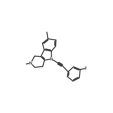 Cc1ccc2c(c1)c1c(n2C#Cc2cccc(F)c2)CCN(C)C1